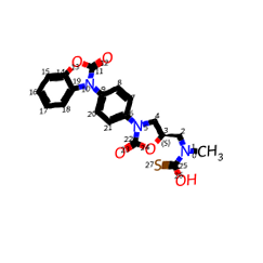 CN(C[C@@H]1CN(c2ccc(-n3c(=O)oc4ccccc43)cc2)C(=O)O1)C(O)=S